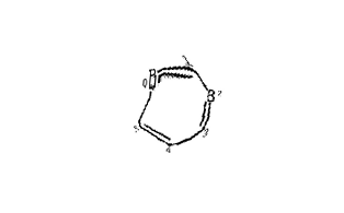 b1cbccc1